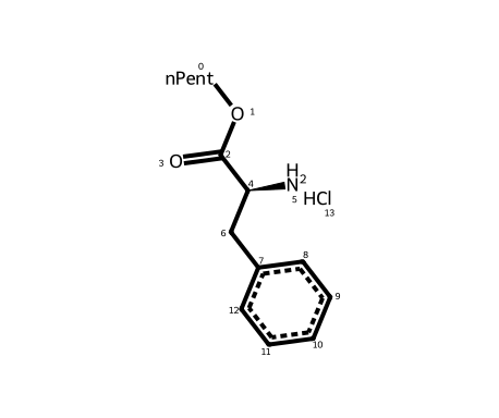 CCCCCOC(=O)[C@@H](N)Cc1ccccc1.Cl